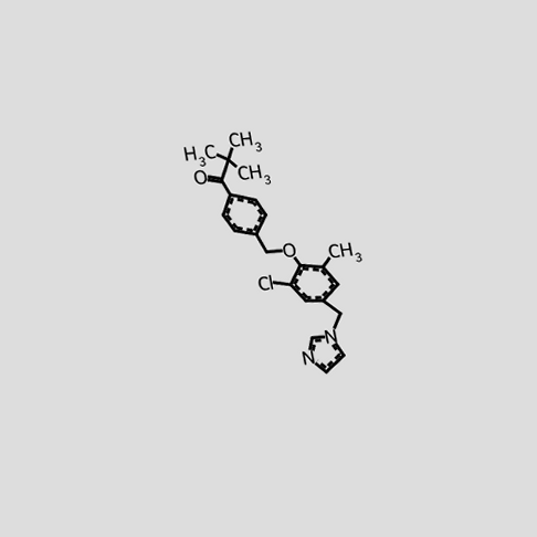 Cc1cc(Cn2ccnc2)cc(Cl)c1OCc1ccc(C(=O)C(C)(C)C)cc1